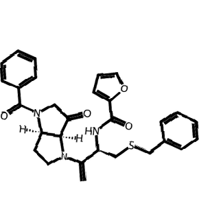 C=C([C@H](CSCc1ccccc1)NC(=O)c1ccco1)N1CC[C@@H]2[C@H]1C(=O)CN2C(=O)c1ccccc1